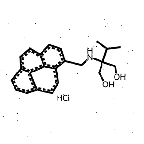 CC(C)C(CO)(CO)NCc1ccc2ccc3cccc4ccc1c2c34.Cl